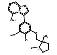 CC[C@H]1OCC[C@@]1(N)COc1cc(-c2cnc3cccc(OC)n23)cc(SC)c1C#N